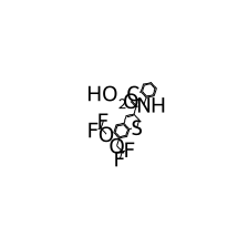 O=C(Nc1ccccc1C(=O)O)C1=Cc2cc(OC(F)F)c(OC(F)F)cc2SC1